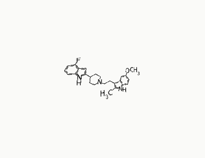 COc1ccc2[nH]c(C)c(CCN3CCC(c4cc5c(F)cccc5[nH]4)CC3)c2c1